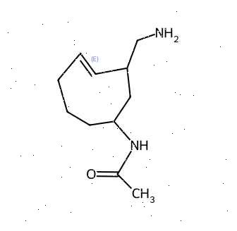 CC(=O)NC1CCC/C=C/C(CN)C1